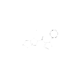 Cl.O=C(C1C[C@H]2CNC[C@H]2C1)N1N=CCC1c1ccccc1